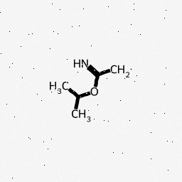 [CH2]C(=N)OC(C)C